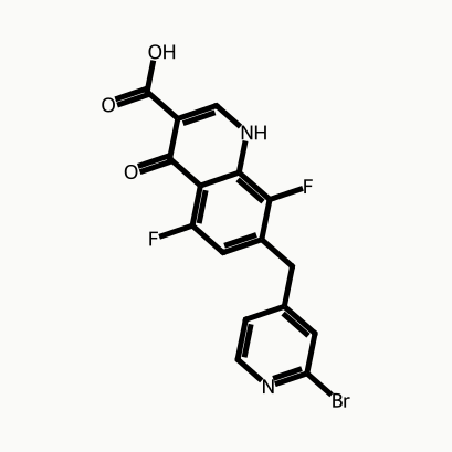 O=C(O)c1c[nH]c2c(F)c(Cc3ccnc(Br)c3)cc(F)c2c1=O